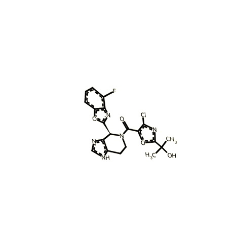 CC(C)(O)c1nc(Cl)c(C(=O)N2CCc3[nH]cnc3[C@H]2c2nc3c(F)cccc3o2)o1